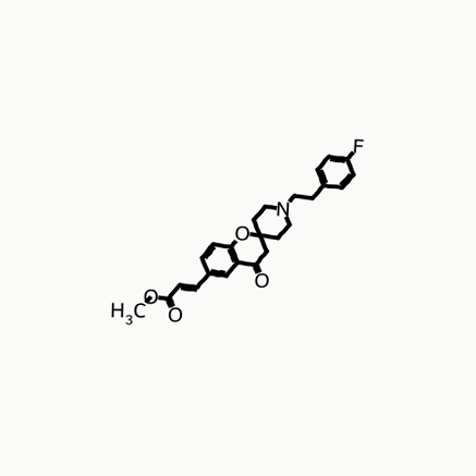 COC(=O)C=Cc1ccc2c(c1)C(=O)CC1(CCN(CCc3ccc(F)cc3)CC1)O2